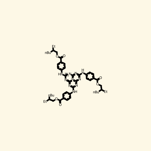 C=C(/N=c1/nc(Nc2ccc(C(=O)OCC(CC)CCCC)cc2)nc2nc(Nc3ccc(C(=O)OCC(CC)CCCC)cc3)nc(N)n12)Nc1ccc(C(=O)OCC(CC)CCCC)cc1